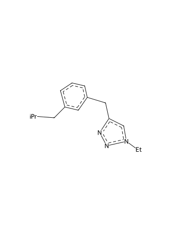 CCn1cc(Cc2cccc(CC(C)C)c2)nn1